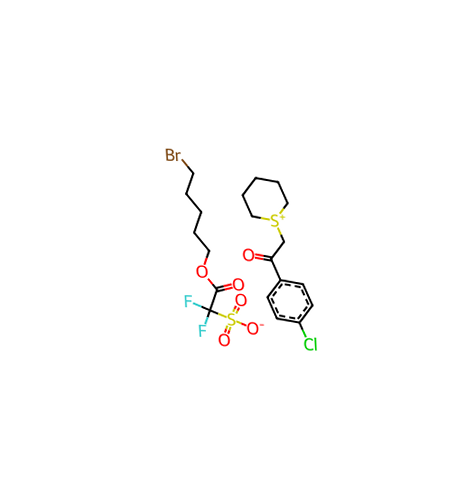 O=C(C[S+]1CCCCC1)c1ccc(Cl)cc1.O=C(OCCCCCBr)C(F)(F)S(=O)(=O)[O-]